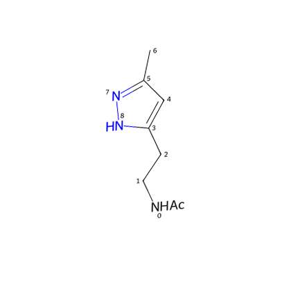 CC(=O)NCCc1cc(C)n[nH]1